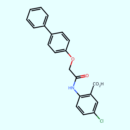 O=C(COc1ccc(-c2ccccc2)cc1)Nc1ccc(Cl)cc1C(=O)O